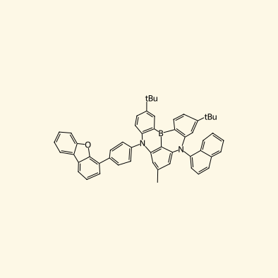 Cc1cc2c3c(c1)N(c1cccc4ccccc14)c1cc(C(C)(C)C)ccc1B3c1cc(C(C)(C)C)ccc1N2c1ccc(-c2cccc3c2oc2ccccc23)cc1